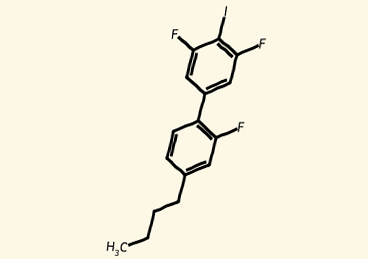 CCCCc1ccc(-c2cc(F)c(I)c(F)c2)c(F)c1